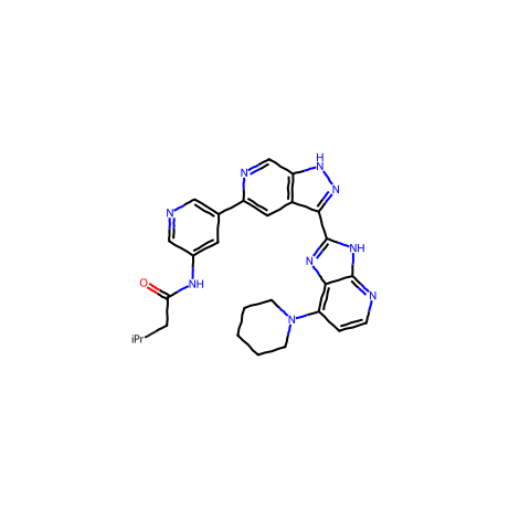 CC(C)CC(=O)Nc1cncc(-c2cc3c(-c4nc5c(N6CCCCC6)ccnc5[nH]4)n[nH]c3cn2)c1